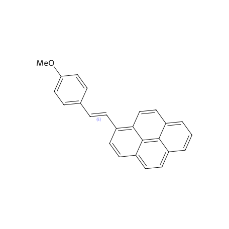 COc1ccc(/C=C/c2ccc3ccc4cccc5ccc2c3c45)cc1